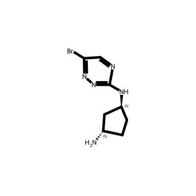 N[C@H]1CC[C@H](Nc2ncc(Br)nn2)C1